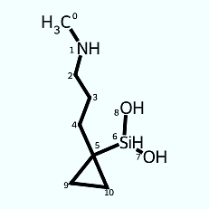 CNCCCC1([SiH](O)O)CC1